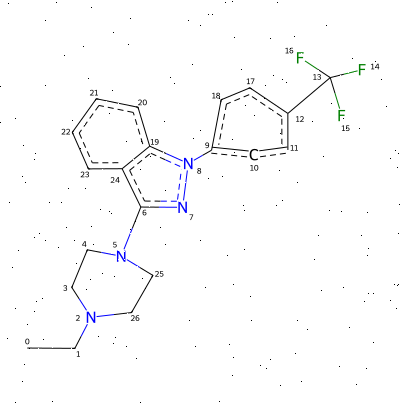 CCN1CCN(c2nn(-c3ccc(C(F)(F)F)cc3)c3ccccc23)CC1